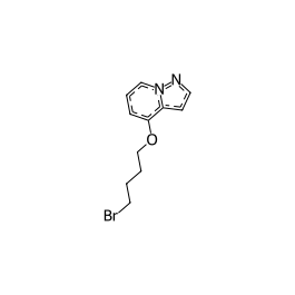 BrCCCCOc1cccn2nccc12